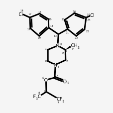 C[C@H]1CN(C(=O)OC(C(F)(F)F)C(F)(F)F)CCN1C(c1ccc(Cl)cc1)c1ccc(Cl)cc1